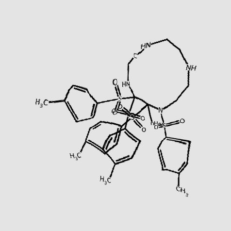 CCCCCCC1(S(=O)(=O)c2ccc(C)cc2)N(S(=O)(=O)c2ccc(C)cc2)CCNCCNCCNC1(S(=O)(=O)c1ccc(C)cc1)S(=O)(=O)c1ccc(C)cc1